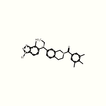 CCn1nnc2c(C)c([C@@H](CC(=O)O)c3ccc4c(c3)CN(C(=O)c3cc(C)c(C)c(C)c3)CC4)ccc21